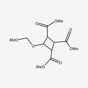 COCOC1C(C(=O)OC)C(C(=O)OC)C1C(=O)OC